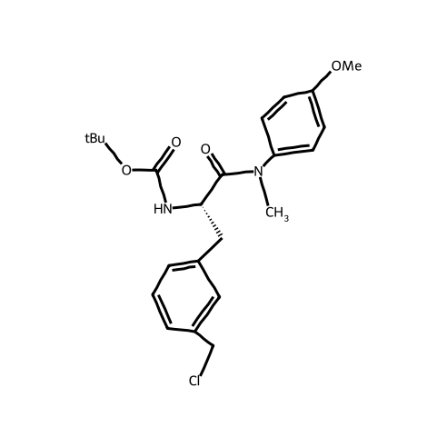 COc1ccc(N(C)C(=O)[C@H](Cc2cccc(CCl)c2)NC(=O)OC(C)(C)C)cc1